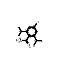 CC(C)c1cc(I)cc(C(C)C)c1C(N)=O